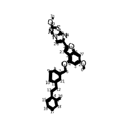 COc1cc(OCc2cccc(CCc3ccccc3C)c2)c2cc(-c3cn4nc(OC)sc4n3)oc2c1